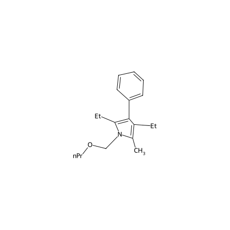 CCCOCn1c(C)c(CC)c(-c2ccccc2)c1CC